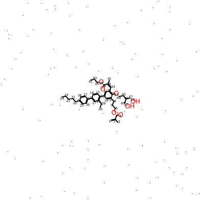 C=C(C)C(=O)OCCCc1cc(-c2ccc(-c3ccc(CCCCC)cc3)cc2CC)cc(C=C(C)C(=O)OCCC)c1OCCC(CO)CO